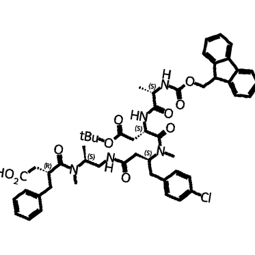 C[C@H](NC(=O)OCC1c2ccccc2-c2ccccc21)C(=O)N[C@@H](CC(=O)OC(C)(C)C)C(=O)N(C)[C@H](CC(=O)NC[C@H](C)N(C)C(=O)[C@@H](CC(=O)O)Cc1ccccc1)Cc1ccc(Cl)cc1